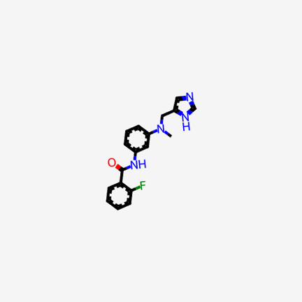 CN(Cc1cnc[nH]1)c1cccc(NC(=O)c2ccccc2F)c1